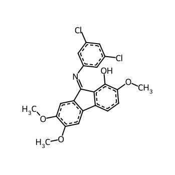 COc1cc2c(cc1OC)-c1ccc(OC)c(O)c1C2=Nc1cc(Cl)cc(Cl)c1